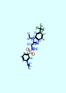 [C-]#[N+]c1cccc(S(=O)(=O)N[C@H](C)c2nc3ccc(C(F)(F)F)cc3n2CC)c1